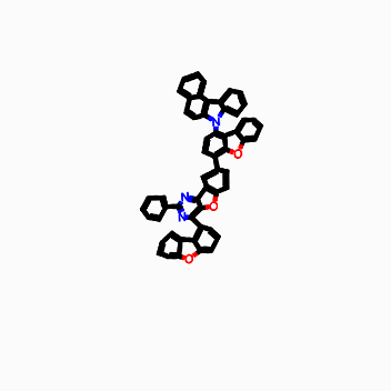 c1ccc(-c2nc(-c3cccc4oc5ccccc5c34)c3oc4ccc(-c5ccc(-n6c7ccccc7c7c8ccccc8ccc76)c6c5oc5ccccc56)cc4c3n2)cc1